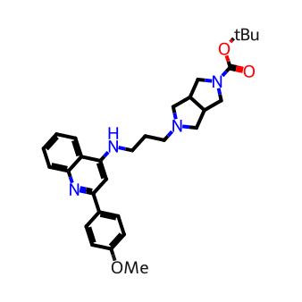 COc1ccc(-c2cc(NCCCN3CC4CN(C(=O)OC(C)(C)C)CC4C3)c3ccccc3n2)cc1